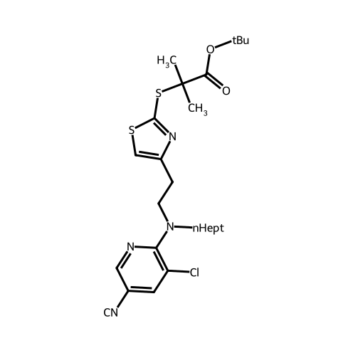 [C-]#[N+]c1cnc(N(CCCCCCC)CCc2csc(SC(C)(C)C(=O)OC(C)(C)C)n2)c(Cl)c1